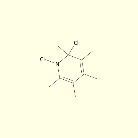 CC1=C(C)N(Cl)C(C)(Cl)C(C)=C1C